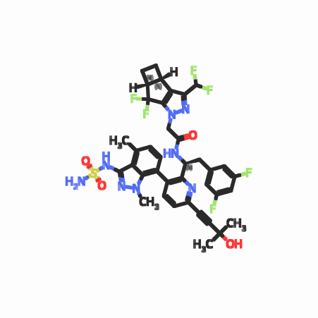 Cc1ccc(-c2ccc(C#CC(C)(C)O)nc2[C@H](Cc2cc(F)cc(F)c2)NC(=O)Cn2nc(C(F)F)c3c2C(F)(F)[C@@H]2CC[C@H]32)c2c1c(NS(N)(=O)=O)nn2C